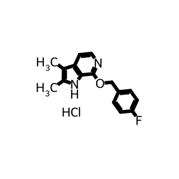 Cc1[nH]c2c(OCc3ccc(F)cc3)nccc2c1C.Cl